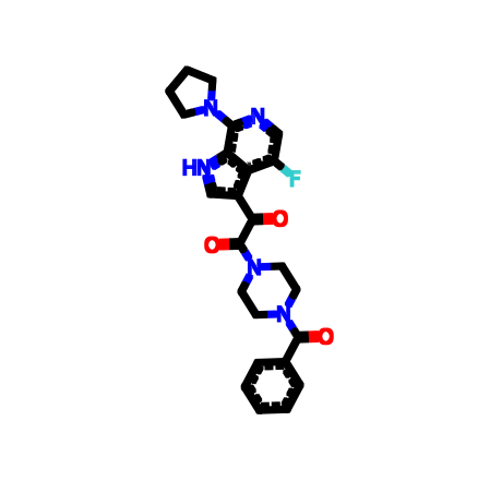 O=C(C(=O)N1CCN(C(=O)c2ccccc2)CC1)c1c[nH]c2c(N3CCCC3)ncc(F)c12